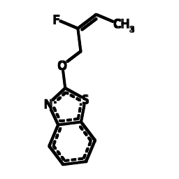 C/C=C(/F)COc1nc2ccccc2s1